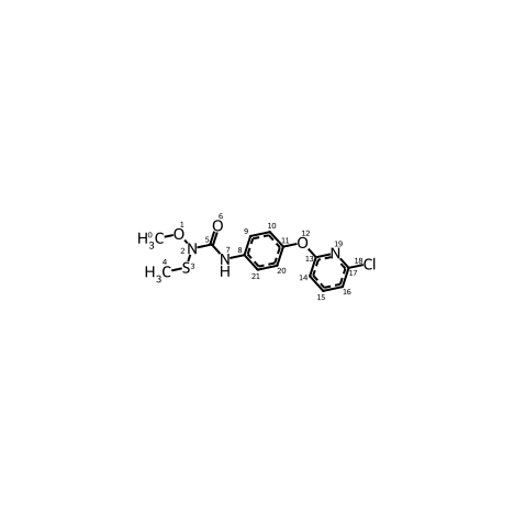 CON(SC)C(=O)Nc1ccc(Oc2cccc(Cl)n2)cc1